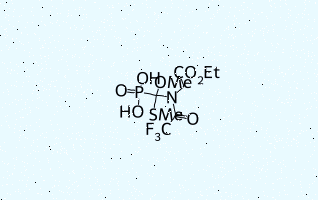 CCOC(=O)CN(C(=O)C(F)(F)F)C(OC)(SC)P(=O)(O)O